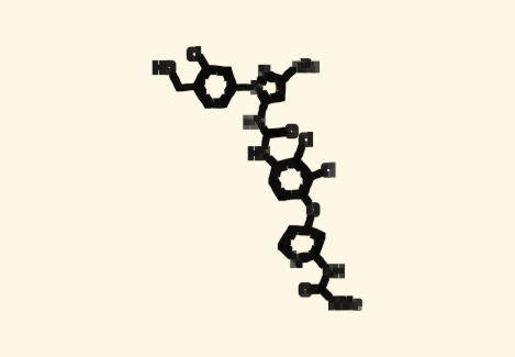 CCCCc1cc(NC(=O)Nc2ccc(Oc3ccnc(NC(=O)NC)c3)c(Cl)c2Cl)n(-c2ccc(CO)c(Cl)c2)n1